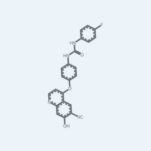 [C-]#[N+]c1cc2c(Oc3ccc(NC(=O)Nc4ccc(F)cc4)cc3)ccnc2cc1O